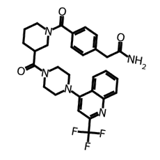 NC(=O)Cc1ccc(C(=O)N2CCCC(C(=O)N3CCN(c4cc(C(F)(F)F)nc5ccccc45)CC3)C2)cc1